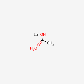 CC(=O)O.O.[Lu]